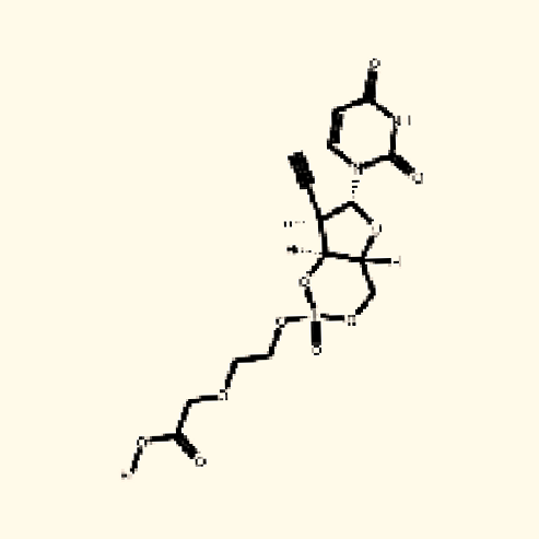 C#C[C@]1(C)[C@@H]2O[P@](=O)(OCCOCC(=O)OC(C)C)OC[C@H]2O[C@H]1n1ccc(=O)[nH]c1=O